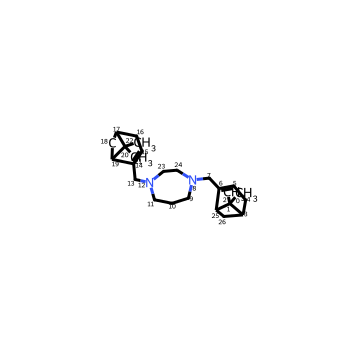 CC1(C)C2CC=C(CN3CCCN(CC4=CCC5CC4C5(C)C)CC3)C1C2